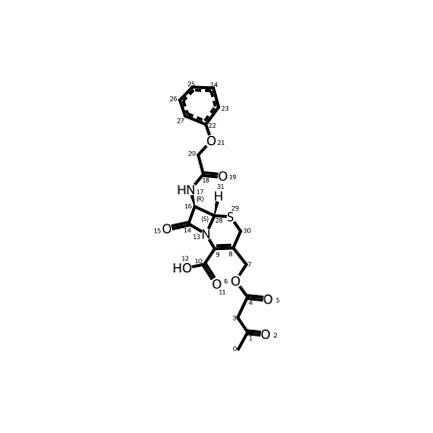 CC(=O)CC(=O)OCC1=C(C(=O)O)N2C(=O)[C@@H](NC(=O)COc3ccccc3)[C@@H]2SC1